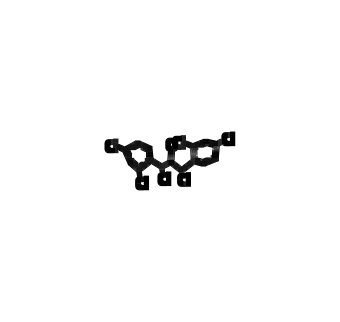 O=C(C(Cl)c1ccc(Cl)cc1Cl)C(Cl)c1ccc(Cl)cc1Cl